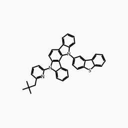 CC(C)(C)Cc1cccc(-n2c3ccccc3c3c2ccc2c4ccccc4n(-c4ccc5sc6ccccc6c5c4)c23)n1